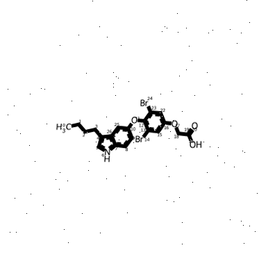 CCCCc1c[nH]c2ccc(Oc3c(Br)cc(OCC(=O)O)cc3Br)cc12